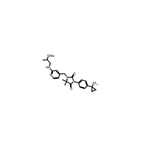 COC(C)CNc1cc(CN2C(=O)N(c3ccc(C4(C(F)(F)F)CC4)cc3)C(=O)C2(C)C)ccn1